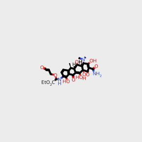 CCOC(=O)C(Nc1ccc2c(c1O)C(=O)C1=C(O)[C@@]3(O)C(=O)C(C(N)=O)=C(O)[C@@H](N(C)C)[C@H]3[C@H](O)[C@H]1[C@@H]2C)OCC=C=O